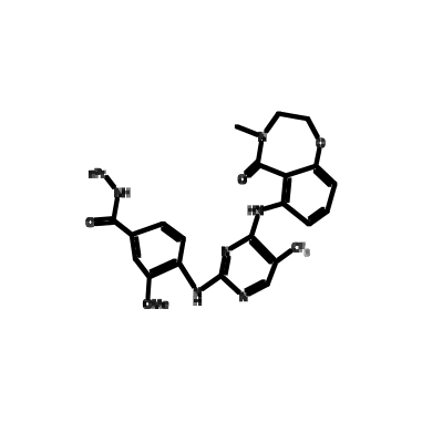 CCCNC(=O)c1ccc(Nc2ncc(C(F)(F)F)c(Nc3cccc4c3C(=O)N(C)CCO4)n2)c(OC)c1